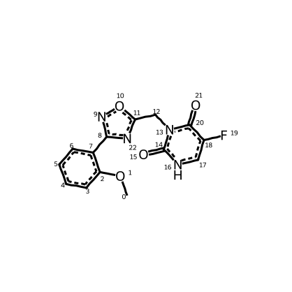 COc1ccccc1-c1noc(Cn2c(=O)[nH]cc(F)c2=O)n1